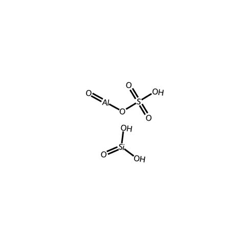 O=[Si](O)O.[O]=[Al][O]S(=O)(=O)O